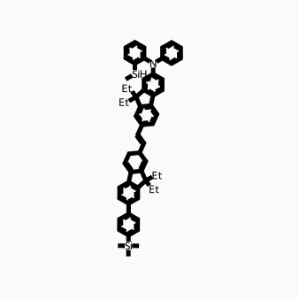 CCC1(CC)C2=CC(/C=C/c3ccc4c(c3)C(CC)(CC)c3cc(N(c5ccccc5)c5ccccc5[SiH2]C)ccc3-4)CC=C2c2ccc(-c3ccc([Si](C)(C)C)cc3)cc21